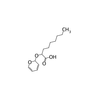 CCCCCCCC(OC1C=CC=CO1)C(=O)O